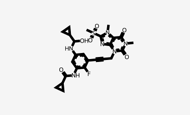 Cn1c(=O)c2c(nc(S(C)(=O)=O)n2C)n(CC#Cc2cc(NC(O)C3CC3)cc(NC(=O)C3CC3)c2F)c1=O